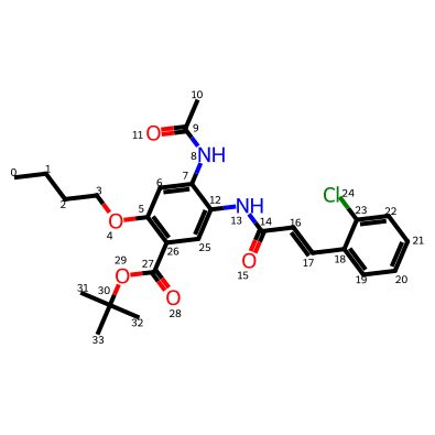 CCCCOc1cc(NC(C)=O)c(NC(=O)C=Cc2ccccc2Cl)cc1C(=O)OC(C)(C)C